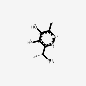 Cc1nnc([C@@H](C)N)c(S)c1O